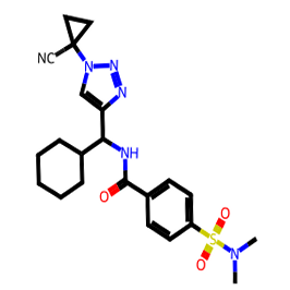 CN(C)S(=O)(=O)c1ccc(C(=O)NC(c2cn(C3(C#N)CC3)nn2)C2CCCCC2)cc1